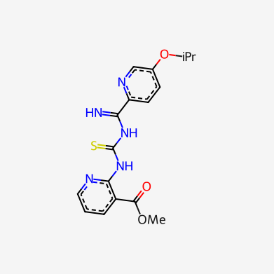 COC(=O)c1cccnc1NC(=S)NC(=N)c1ccc(OC(C)C)cn1